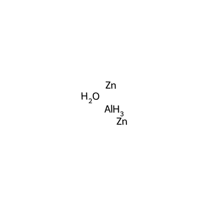 O.[AlH3].[Zn].[Zn]